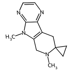 CN1Cc2c(c3nccnc3n2C)CC12CC2